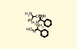 CC(C)C(N)C(=O)O.N=C(N)c1ccccc1.NC(=NO)c1ccccc1